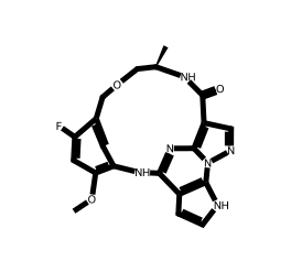 COc1cc(F)c2cc1Nc1nc3c(cnn3c3[nH]ccc13)C(=O)N[C@H](C)COC2